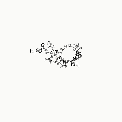 COC(=O)c1cc2c(cc1F)N=C(c1cc3ccc4nc3n1CCCCC[C@@H]1C[C@H]1C(=O)N[C@@H]4C)C2C(F)F